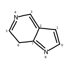 C1=CC2=CN=CCC2=N1